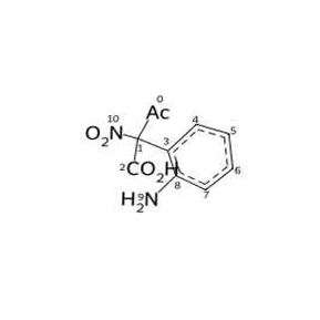 CC(=O)C(C(=O)O)(c1ccccc1N)[N+](=O)[O-]